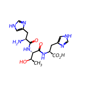 C[C@@H](O)[C@H](NC(=O)[C@@H](N)Cc1c[nH]cn1)C(=O)N[C@@H](Cc1c[nH]cn1)C(=O)O